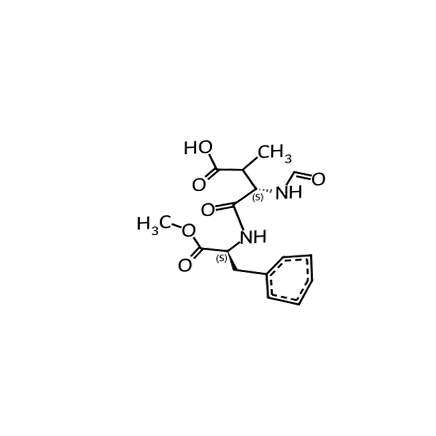 COC(=O)[C@H](Cc1ccccc1)NC(=O)[C@@H](NC=O)C(C)C(=O)O